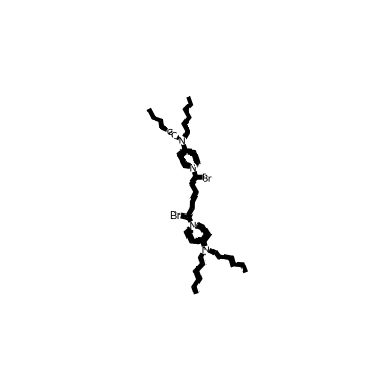 CCCCCCN(CCCCCC)c1cc[n+](C(Br)CCCCC(Br)[n+]2ccc(N(CCCCCC)CCCCCC)cc2)cc1